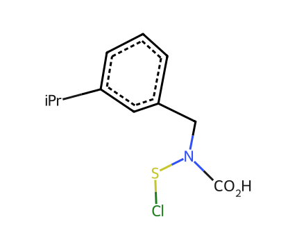 CC(C)c1cccc(CN(SCl)C(=O)O)c1